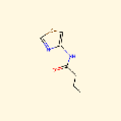 CCCC(=O)Nc1cscn1